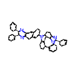 c1ccc(-c2nc3cc4ccc(-n5c6cccc7c8ccccc8n8c(-c9ccccc9)nc9ccc5c(c76)c98)cc4cc3nc2-c2ccccc2)cc1